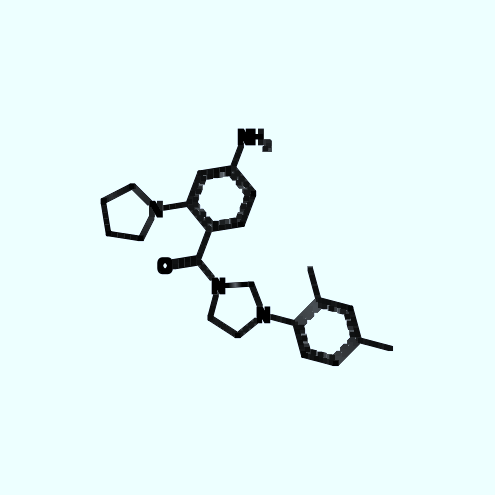 Cc1ccc(N2CCN(C(=O)c3ccc(N)cc3N3CCCC3)C2)c(C)c1